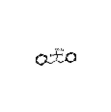 CCOC(=O)C(F)(F)N(Cc1ccccc1)Cc1ccccc1